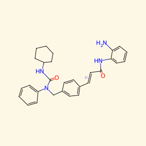 Nc1ccccc1NC(=O)/C=C/c1ccc(CN(C(=O)NC2CCCCC2)c2ccccc2)cc1